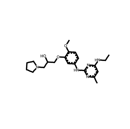 CCNc1cc(C)nc(Nc2ccc(OC)c(OCC(O)CN3CCCC3)c2)n1